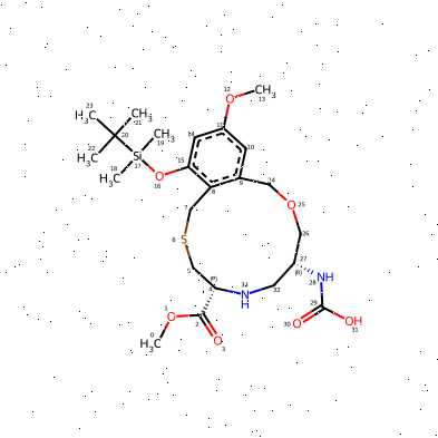 COC(=O)[C@@H]1CSCc2c(cc(OC)cc2O[Si](C)(C)C(C)(C)C)COC[C@H](NC(=O)O)CN1